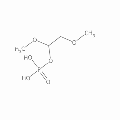 COCC(OC)OP(=O)(O)O